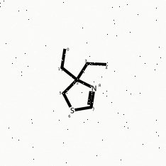 CCC1(CC)CS[C]=N1